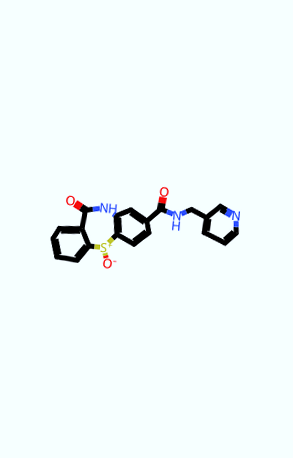 O=C(NCc1cccnc1)c1ccc2c(c1)NC(=O)c1ccccc1[S+]2[O-]